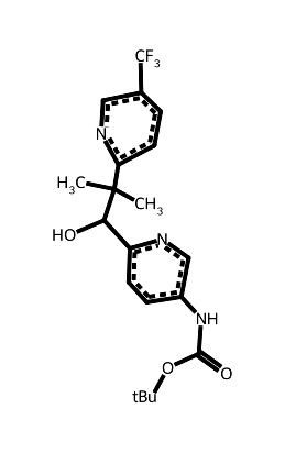 CC(C)(C)OC(=O)Nc1ccc(C(O)C(C)(C)c2ccc(C(F)(F)F)cn2)nc1